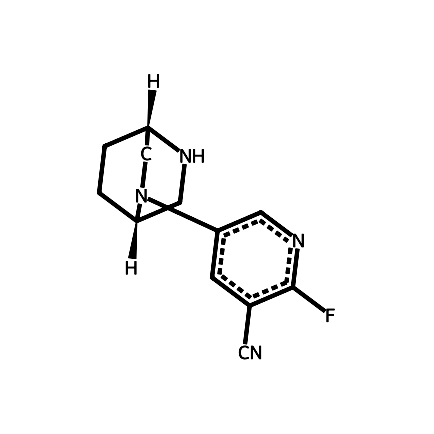 N#Cc1cc(N2C[C@@H]3CC[C@H]2CN3)cnc1F